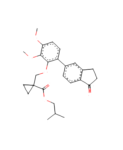 COc1ccc(-c2ccc3c(c2)CCC3=O)c(OCC2(C(=O)OCC(C)C)CC2)c1OC